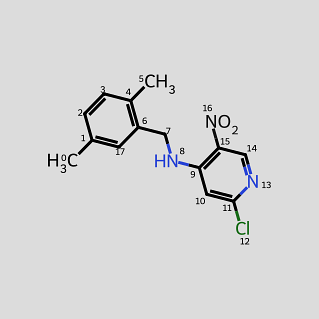 Cc1ccc(C)c(CNc2cc(Cl)ncc2[N+](=O)[O-])c1